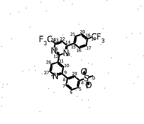 CS(=O)(=O)c1cccc(-c2cc(-c3nc(-c4ccc(C(F)(F)F)cc4)cc(C(F)(F)F)n3)ccn2)c1